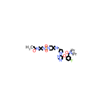 C=CC(=O)N1CC2(C1)CN(S(=O)(=O)N1CCC3(CC1)CN(C[C@@H]1CCN(c4ncncc4Oc4ccc(F)cc4C(=O)N(C(C)C)C(C)C)C1)C3)C2